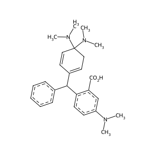 CN(C)c1ccc(C(C2=CCC(N(C)C)(N(C)C)C=C2)c2ccccc2)c(C(=O)O)c1